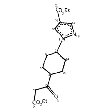 CCOC(=O)CC(=O)C1CCC(n2cc(C(=O)OCC)cn2)CC1